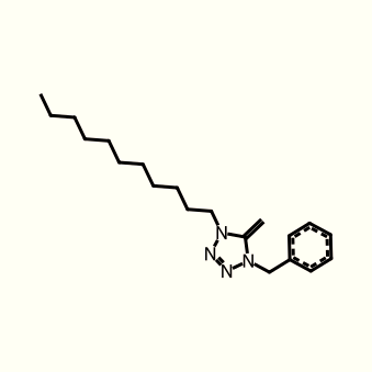 C=C1N(CCCCCCCCCCC)N=NN1Cc1ccccc1